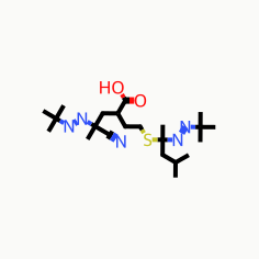 CC(C)CC(C)(N=NC(C)(C)C)SCCC(CC(C)(C#N)N=NC(C)(C)C)C(=O)O